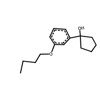 CCCCOc1cccc(C2(O)CCCC2)c1